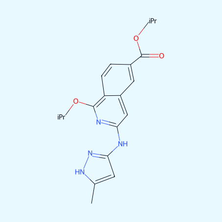 Cc1cc(Nc2cc3cc(C(=O)OC(C)C)ccc3c(OC(C)C)n2)n[nH]1